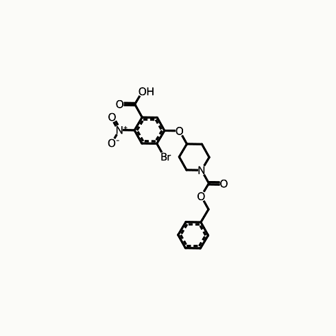 O=C(O)c1cc(OC2CCN(C(=O)OCc3ccccc3)CC2)c(Br)cc1[N+](=O)[O-]